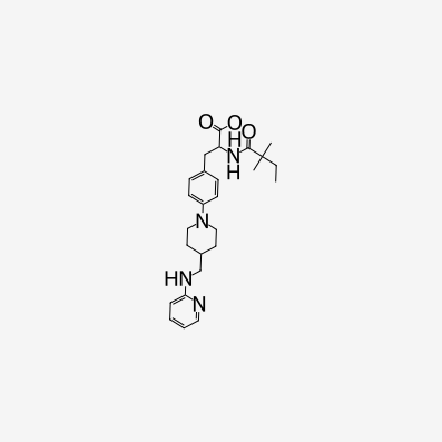 CCC(C)(C)C(=O)NC(Cc1ccc(N2CCC(CNc3ccccn3)CC2)cc1)C(=O)O